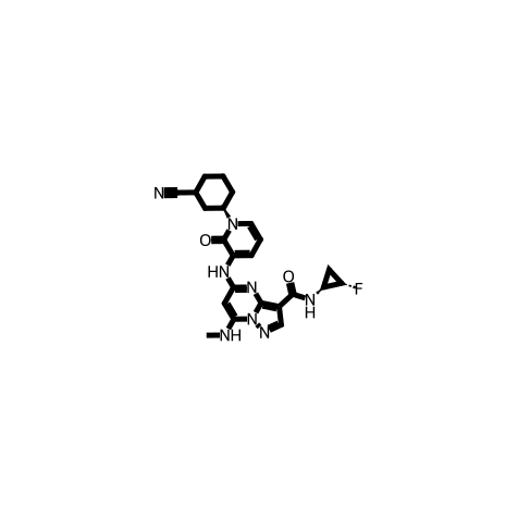 CNc1cc(Nc2cccn([C@@H]3CCCC(C#N)C3)c2=O)nc2c(C(=O)N[C@@H]3C[C@@H]3F)cnn12